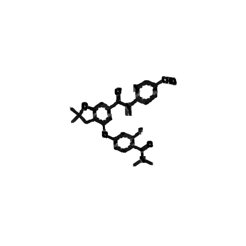 CN(C)C(=O)c1ccc(Oc2cc(C(=O)Nc3ccc(C=O)cn3)cc3c2CC(C)(C)O3)cc1F